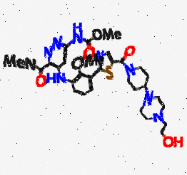 CNC(=O)c1nnc(NC(=O)OC)cc1Nc1cccc(-c2ncc(C(=O)N3CCC(N4CCN(CCO)CC4)CC3)s2)c1OC